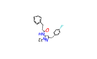 CCn1nc(Cc2ccc(F)cc2)cc1NC(=O)CCc1ccccc1